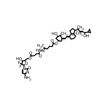 C=C1/C(=C\C=C2/CCC[C@@]3(C)C2CCC3[C@@H](C)/C=C/C(O)C2CC2)C[C@H](OC(=O)CCC/C(C)=N/NC(=O)CCC(=O)OCC2OC(n3ccc(N)nc3=O)C(F)(F)C2O)C[C@@H]1O